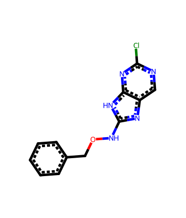 Clc1ncc2nc(NOCc3ccccc3)[nH]c2n1